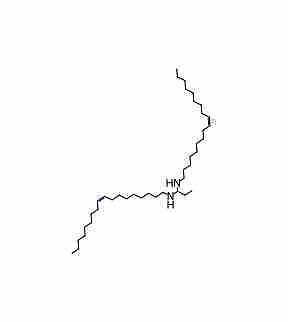 CCCCCCCC/C=C\CCCCCCCCNC(CC)NCCCCCCCC/C=C\CCCCCCCC